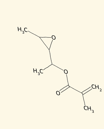 C=C(C)C(=O)OC(C)C1OC1C